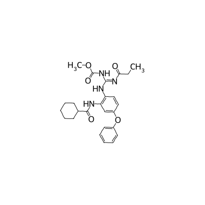 CCC(=O)N=C(NC(=O)OC)Nc1ccc(Oc2ccccc2)cc1NC(=O)C1CCCCC1